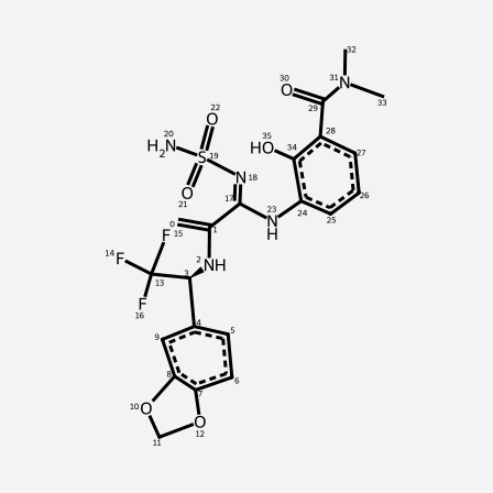 C=C(N[C@@H](c1ccc2c(c1)OCO2)C(F)(F)F)/C(=N\S(N)(=O)=O)Nc1cccc(C(=O)N(C)C)c1O